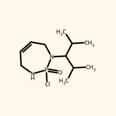 CC(C)C(C(C)C)N1CC=CCNP1(=O)Cl